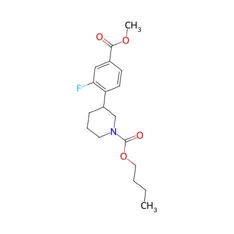 CCCCOC(=O)N1CCCC(c2ccc(C(=O)OC)cc2F)C1